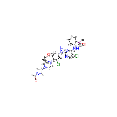 CC(=O)N1CC(N2CCN3c4c(Cl)cc(Nc5ncc(Cl)c(Nc6ccccc6P(C)(C)=O)n5)cc4OC[C@@H]3C2)C1